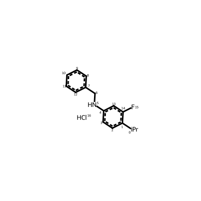 CC(C)c1ccc(NCc2ccccc2)cc1F.Cl